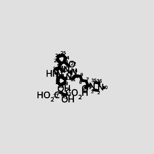 CN1CCN(C(=O)CCCc2cn(-c3ccccc3)c(NC(=O)c3ccccc3-c3cn[nH]c3)n2)CC1.O=C(O)[C@H](O)[C@@H](O)C(=O)O